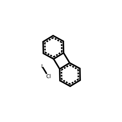 ClI.c1ccc2c(c1)-c1ccccc1-2